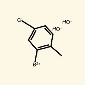 [B+2]c1cc(Cl)ccc1C.[OH-].[OH-]